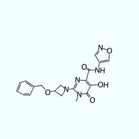 Cn1c(N2CC(OCc3ccccc3)C2)nc(C(=O)Nc2cnoc2)c(O)c1=O